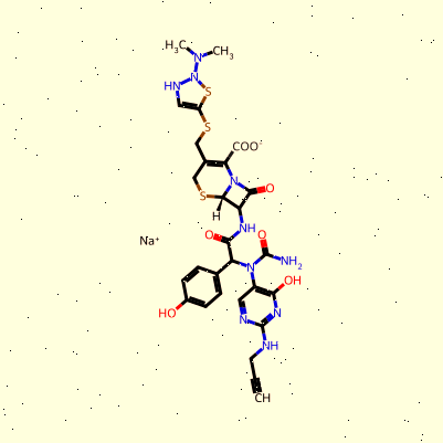 C#CCNc1ncc(N(C(N)=O)C(C(=O)NC2C(=O)N3C(C(=O)[O-])=C(CSC4=CNN(N(C)C)S4)CS[C@@H]23)c2ccc(O)cc2)c(O)n1.[Na+]